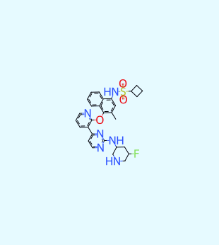 Cc1cc(NS(=O)(=O)C2CCC2)c2ccccc2c1Oc1ncccc1-c1ccnc(NC2CNCC(F)C2)n1